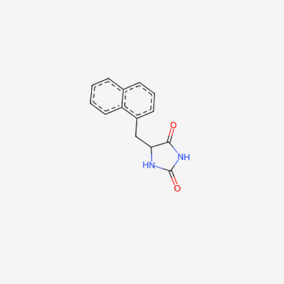 O=C1NC(=O)C(Cc2cccc3ccccc23)N1